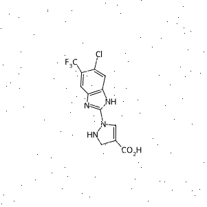 O=C(O)C1=CN(c2nc3cc(C(F)(F)F)c(Cl)cc3[nH]2)NC1